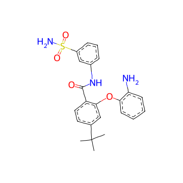 CC(C)(C)c1ccc(C(=O)Nc2cccc(S(N)(=O)=O)c2)c(Oc2ccccc2N)c1